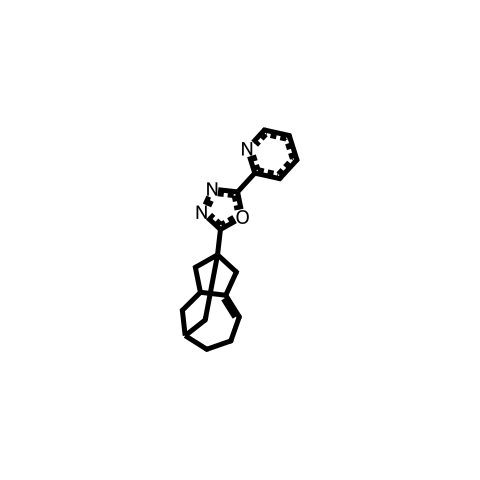 C1=C2CC3(c4nnc(-c5ccccn5)o4)CC(CC1)CC2C3